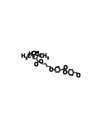 CC(C)CC(C(=O)OCCCCOc1ccc(C(=O)Oc2ccc(C=O)cc2)cc1)C(C)C